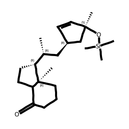 C[C@H](C[C@H]1C=C[C@@](C)(O[Si](C)(C)C)C1)[C@H]1CCC2C(=O)CCC[C@@]21C